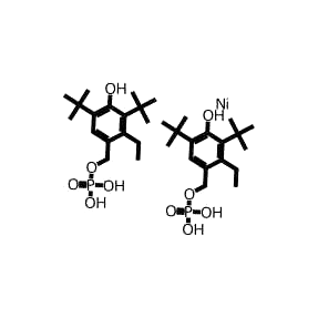 CCc1c(COP(=O)(O)O)cc(C(C)(C)C)c(O)c1C(C)(C)C.CCc1c(COP(=O)(O)O)cc(C(C)(C)C)c(O)c1C(C)(C)C.[Ni]